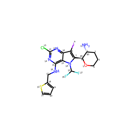 N[C@@H]1CCCO[C@H]1c1c(I)c2nc(Cl)nc(NCc3cccs3)c2n1C(F)F